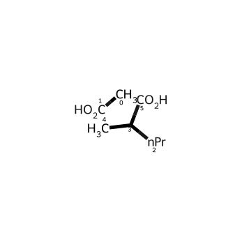 CC(=O)O.CCCC(C)C(=O)O